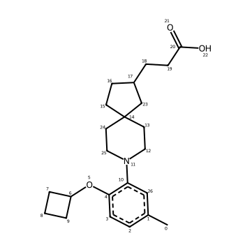 Cc1ccc(OC2CCC2)c(N2CCC3(CCC(CCC(=O)O)C3)CC2)c1